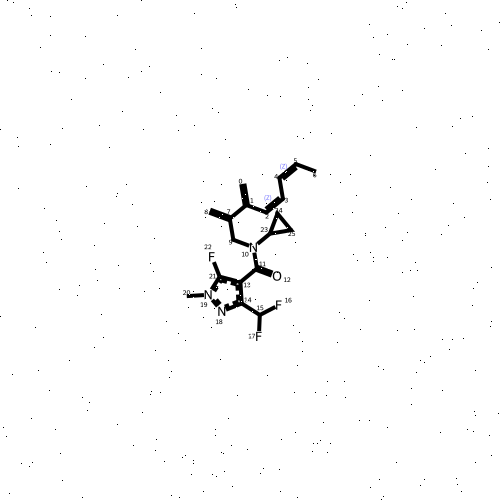 C=C(/C=C\C=C/C)C(=C)CN(C(=O)c1c(C(F)F)nn(C)c1F)C1CC1